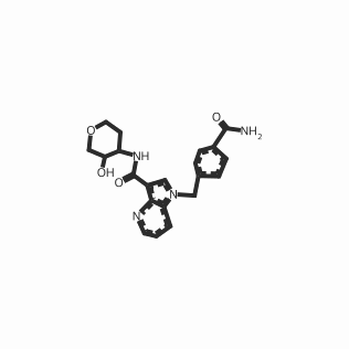 NC(=O)c1ccc(Cn2cc(C(=O)NC3CCOCC3O)c3ncccc32)cc1